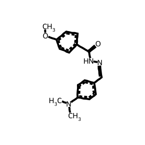 COc1ccc(C(=O)N/N=C\c2ccc(N(C)C)cc2)cc1